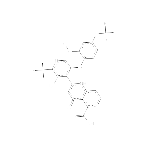 COc1cc(OC(F)(F)F)ccc1Oc1cnc(C(F)(F)F)c(C)c1-c1cc(=O)c2c(C(N)=O)nccc2[nH]1